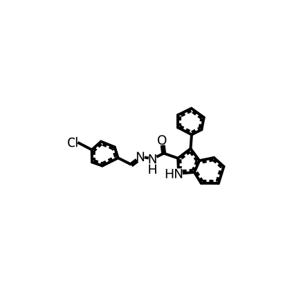 O=C(NN=Cc1ccc(Cl)cc1)c1[nH]c2ccccc2c1-c1ccccc1